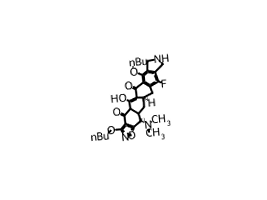 CCCCOc1noc2c1C(=O)C1C(O)=C3C(=O)c4c(c(F)c5c(c4OCCCC)CNC5)C[C@H]3CC1[C@@H]2N(C)C